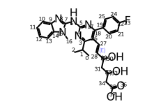 CC(C)c1nc(Nc2nc3ccccc3n2C)nc(-c2ccc(F)cc2)c1/C=C/[C@@H](O)C[C@@H](O)CC(=O)O